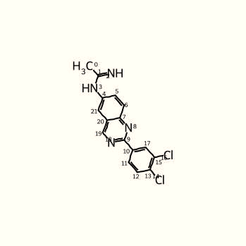 CC(=N)Nc1ccc2nc(-c3ccc(Cl)c(Cl)c3)ncc2c1